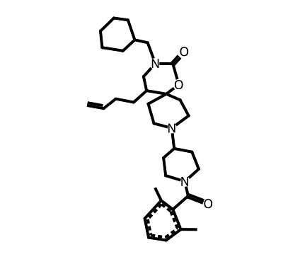 C=CCCC1CN(CC2CCCCC2)C(=O)OC12CCN(C1CCN(C(=O)c3c(C)cccc3C)CC1)CC2